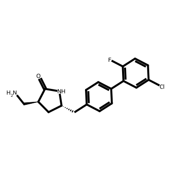 NC[C@@H]1C[C@@H](Cc2ccc(-c3cc(Cl)ccc3F)cc2)NC1=O